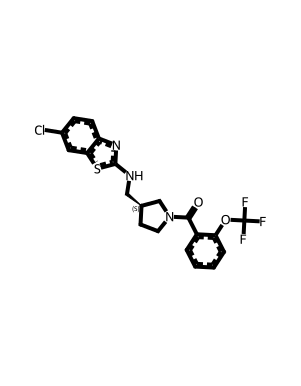 O=C(c1ccccc1OC(F)(F)F)N1CC[C@@H](CNc2nc3ccc(Cl)cc3s2)C1